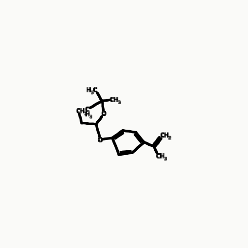 C=C(C)c1ccc(OC(CC)OC(C)(C)C)cc1